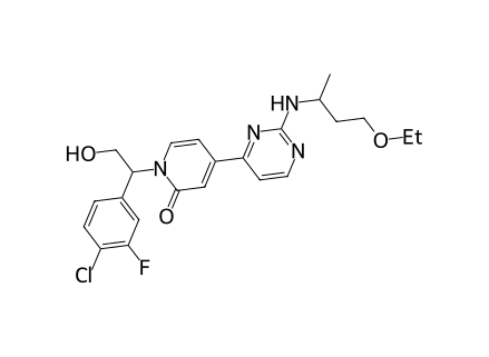 CCOCCC(C)Nc1nccc(-c2ccn(C(CO)c3ccc(Cl)c(F)c3)c(=O)c2)n1